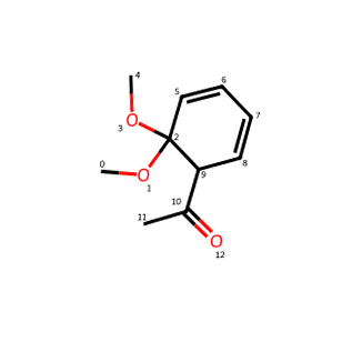 COC1(OC)C=CC=CC1C(C)=O